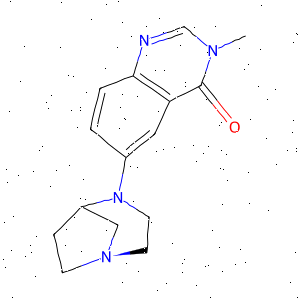 Cn1cnc2ccc(N3CC[N@@]4CCC3C4)cc2c1=O